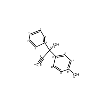 C#CC(O)(c1ccccc1)c1ccc(O)cc1